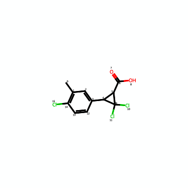 Cc1cc(C2C(C(=O)O)C2(Cl)Cl)ccc1Cl